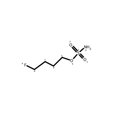 NS(=O)(=O)OCCCCF